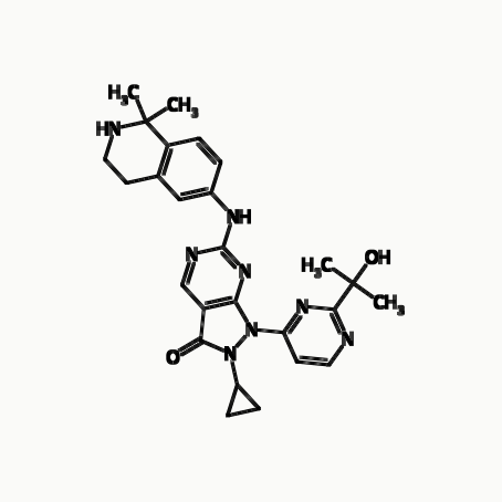 CC(C)(O)c1nccc(-n2c3nc(Nc4ccc5c(c4)CCNC5(C)C)ncc3c(=O)n2C2CC2)n1